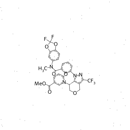 COC(=O)c1ccc(=O)n(C2COCc3c(C(F)(F)F)nn(-c4cccc(C(=O)N(C)c5ccc6c(c5)OC(F)(F)O6)c4)c32)c1